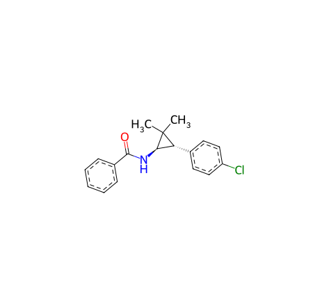 CC1(C)[C@H](NC(=O)c2ccccc2)[C@H]1c1ccc(Cl)cc1